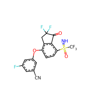 N#Cc1cc(F)cc(Oc2ccc(S(=N)(=O)C(F)(F)F)c3c2CC(F)(F)C3=O)c1